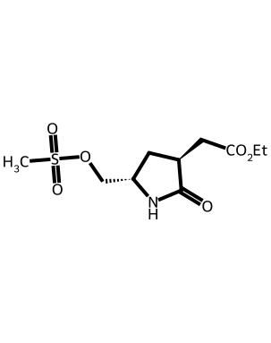 CCOC(=O)C[C@@H]1C[C@@H](COS(C)(=O)=O)NC1=O